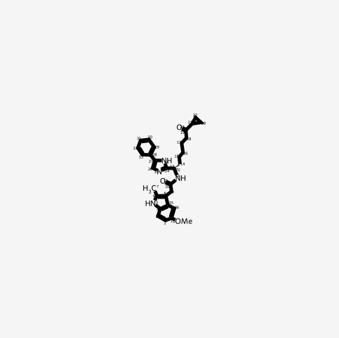 COc1ccc2[nH]c(C)c(CC(=O)N[C@@H](CCCCCC(=O)C3CC3)c3ncc(-c4ccccc4)[nH]3)c2c1